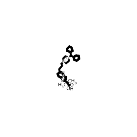 CC(C)(C(=O)O)c1cn2nc(CCCN3CCN(C(c4ccccc4)c4ccccc4)CC3)ccc2n1